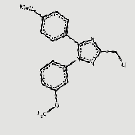 COc1ccc(-c2nc(CCl)nn2-c2cccc(OC(F)(F)F)c2)cc1